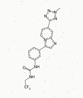 Cn1nnc(-c2ccn3c(-c4cccc(NC(=O)NCC(F)(F)F)c4)cnc3c2)n1